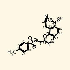 Cc1ccc(S(=O)(=O)OCC2COc3ccc([N+](=O)[O-])c(CC#N)c3O2)cc1